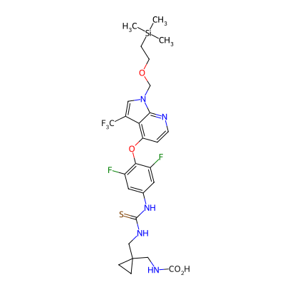 C[Si](C)(C)CCOCn1cc(C(F)(F)F)c2c(Oc3c(F)cc(NC(=S)NCC4(CNC(=O)O)CC4)cc3F)ccnc21